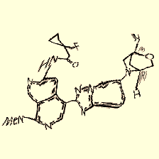 CNc1ncc(-c2nc3ccc(N4C[C@H]5C[C@@H]4CO5)cn3n2)c2cc(NC(=O)C3(F)CC3)ncc12